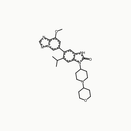 COc1cc(-c2cc3[nH]c(=O)n(C4CCN(C5CCOCC5)CC4)c3cc2C(C)C)cn2ncnc12